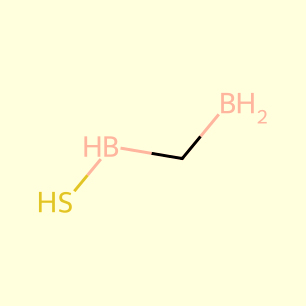 BCBS